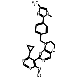 CCOc1ncnc(C2CC2)c1-c1ncc2c(n1)N(Cc1ccc(-c3nc(C(F)(F)F)cn3C)cc1)CCO2